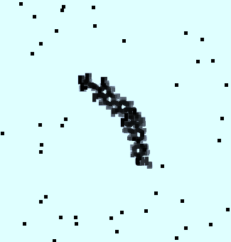 Cc1ccc(-c2ccc3c(F)c(C(F)(F)Oc4ccc(-c5ccc6c(F)c(C#CC(F)(F)F)c(F)cc6c5)c(F)c4)c(F)cc3c2)nc1